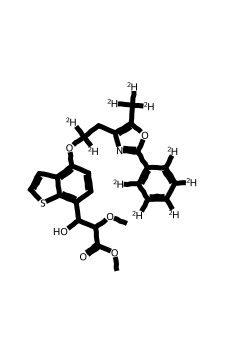 [2H]c1c([2H])c([2H])c(-c2nc(CC([2H])([2H])Oc3ccc(C(O)C(OC)C(=O)OC)c4sccc34)c(C([2H])([2H])[2H])o2)c([2H])c1[2H]